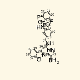 Bc1cnn2c(NCc3cccc(NS(=O)(=O)c4c(F)cccc4F)c3)cc(-c3ccccc3Cl)nc12